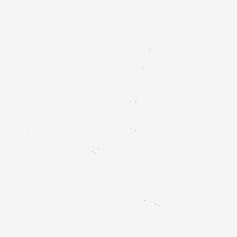 O=C(NC1CCCc2ccccc21)C(c1cccc(Br)c1)C1(O)CCCCC1